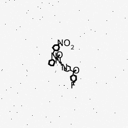 O=C(c1ccc(F)cc1)C1CCN(CCn2c(=O)n(Cc3ccc([N+](=O)[O-])cc3)c3ccccc32)CC1